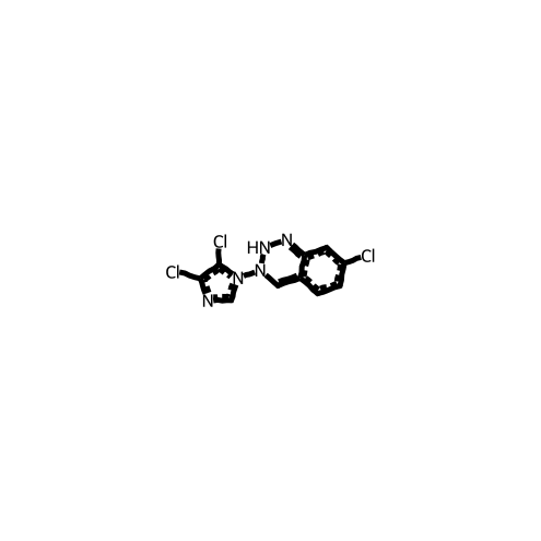 Clc1ccc2c(c1)=NNN(n1cnc(Cl)c1Cl)C=2